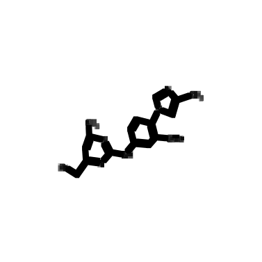 COc1cc(Nc2nc(C)cc(CC(C)C)n2)ccc1-n1cnc(C)c1